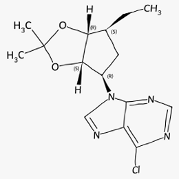 CC[C@H]1C[C@@H](n2cnc3c(Cl)ncnc32)[C@@H]2OC(C)(C)O[C@H]12